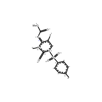 COC(=O)/N=c1\c(F)cn(S(=O)(=O)c2ccc(C)cc2)c(=O)n1C